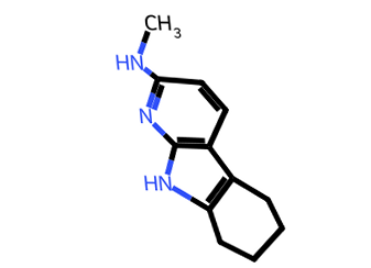 CNc1ccc2c3c([nH]c2n1)CCCC3